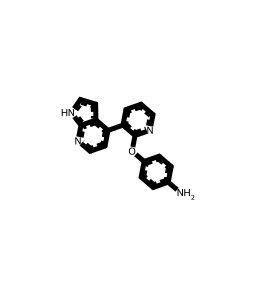 Nc1ccc(Oc2ncccc2-c2ccnc3[nH]ccc23)cc1